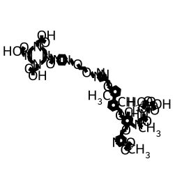 Cc1c(COc2cc(OCc3cncc(S(C)(=O)=O)c3)c(CN(C)CC(=O)NCC(S(=O)(=O)O)S(=O)(=O)O)cc2Cl)cccc1-c1cccc(OCc2cn(CCOCCOCCN3CCN(C(=O)CN4CCN(CC(=O)O)CCN(CC(=O)O)CCN(CC(=O)O)CC4)CC3)nn2)c1C